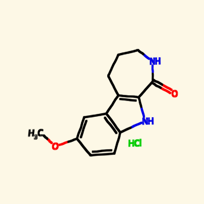 COc1ccc2[nH]c3c(c2c1)CCCNC3=O.Cl